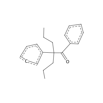 CCCC(CCC)(C(=O)c1ccccc1)c1ccccc1